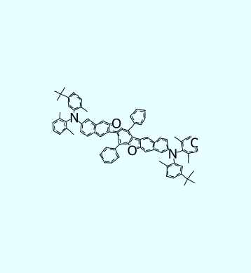 Cc1ccc(C(C)(C)C)cc1N(c1ccc2cc3c(cc2c1)oc1c(-c2ccccc2)c2c(oc4cc5cc(N(c6cc(C(C)(C)C)ccc6C)c6c(C)cccc6C)ccc5cc42)c(-c2ccccc2)c13)c1c(C)cccc1C